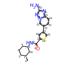 C[C@H]1CCC[C@@H](NC(=O)c2cc(-c3ccc4nc(N)nn4c3)cs2)C1